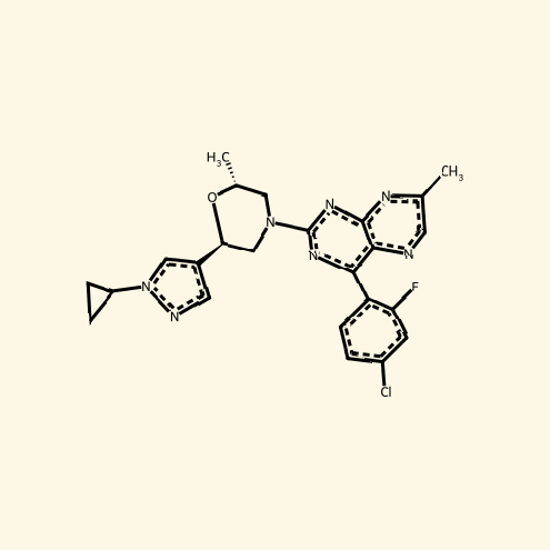 Cc1cnc2c(-c3ccc(Cl)cc3F)nc(N3C[C@@H](C)O[C@H](c4cnn(C5CC5)c4)C3)nc2n1